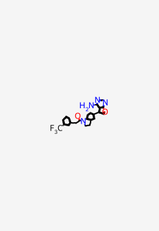 Nc1ncnc2occ(-c3ccc4c(c3)CCN4C(=O)Cc3cccc(C(F)(F)F)c3)c12